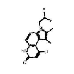 Cc1c(C)n(CC(F)F)c2ccc3[nH]c(=O)cc(Cl)c3c12